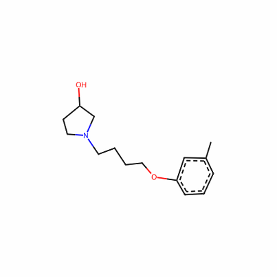 Cc1cccc(OCCCCN2CCC(O)C2)c1